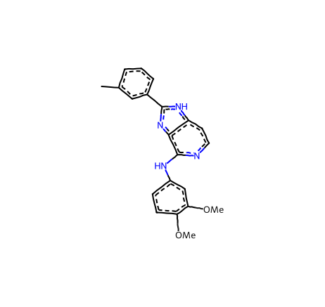 COc1ccc(Nc2nccc3[nH]c(-c4cccc(C)c4)nc23)cc1OC